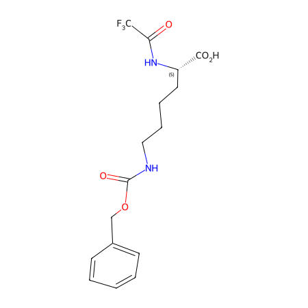 O=C(NCCCC[C@H](NC(=O)C(F)(F)F)C(=O)O)OCc1ccccc1